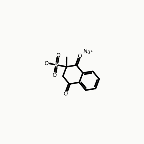 CC1(S(=O)(=O)[O-])CC(=O)c2ccccc2C1=O.[Na+]